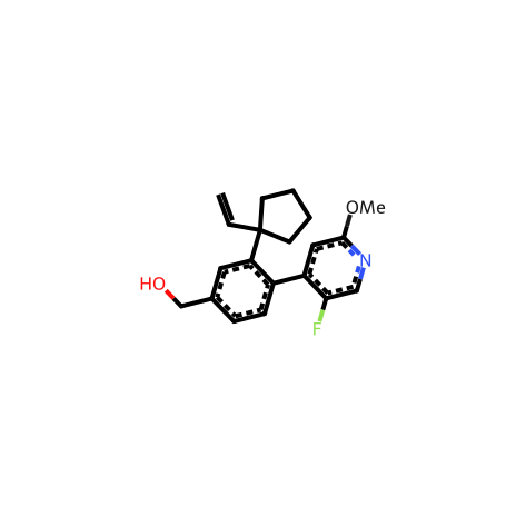 C=CC1(c2cc(CO)ccc2-c2cc(OC)ncc2F)CCCC1